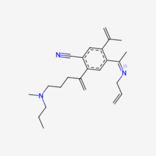 C=CC/N=C(/C)c1cc(C(=C)CCCN(C)CCC)c(C#N)cc1C(=C)C